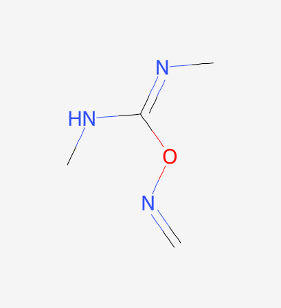 C=NO/C(=N\C)NC